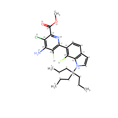 CCC[Si](CCC)(CCC)n1ccc2ccc(-c3nc(C(=O)OC)c(Cl)c(N)c3F)c(F)c21